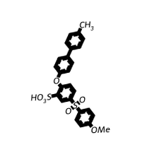 COc1ccc(S(=O)(=O)c2ccc(Oc3ccc(-c4ccc(C)cc4)cc3)c(S(=O)(=O)O)c2)cc1